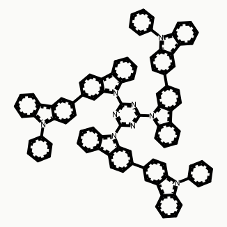 c1ccc(-n2c3ccccc3c3cc(-c4ccc5c6ccccc6n(-c6nc(-n7c8ccccc8c8ccc(-c9ccc%10c(c9)c9ccccc9n%10-c9ccccc9)cc87)nc(-n7c8ccccc8c8ccc(-c9ccc%10c(c9)c9ccccc9n%10-c9ccccc9)cc87)n6)c5c4)ccc32)cc1